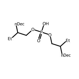 CCCCCCCCCCC(CC)COP(=O)(O)OCC(CC)CCCCCCCCCC